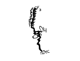 CCCCCCCCCCCCCCCCCC(=O)Oc1ccc(CCCC(F)(F)C(F)(F)C(F)(F)C(F)(F)C(F)(F)C(F)(F)C(F)(F)C(F)(F)F)cc1CO